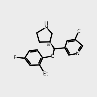 CCc1cc(F)ccc1OC(c1cncc(Cl)c1)[C@H]1CCNC1